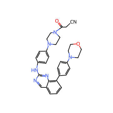 N#CCC(=O)N1CCN(c2ccc(Nc3ncc4cccc(-c5ccc(N6CCOCC6)cc5)c4n3)cc2)CC1